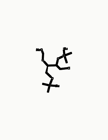 COCO[C@H](CO[Si](C)(C)C(C)(C)C)C(CCl)O[Si](C)(C)C(C)(C)C